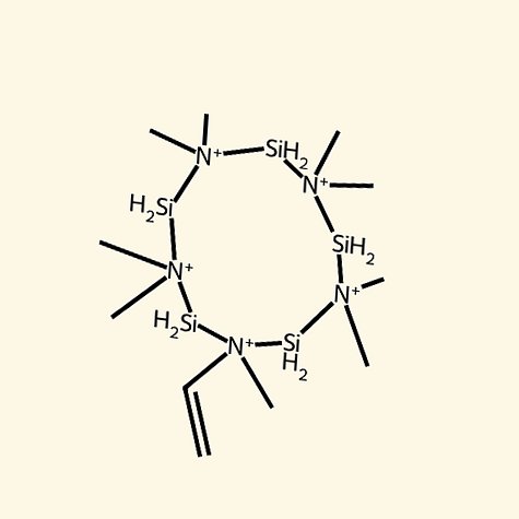 C=C[N+]1(C)[SiH2][N+](C)(C)[SiH2][N+](C)(C)[SiH2][N+](C)(C)[SiH2][N+](C)(C)[SiH2]1